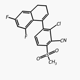 CS(=O)(=O)c1ccc(C2=CCCc3cc(F)cc(F)c32)c(Cl)c1C#N